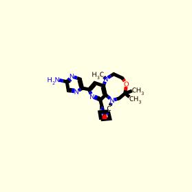 CN1CCOC(C)(C)CN(C)c2c1cc(-c1cnc(N)cn1)nc2N1CC2CC1C2